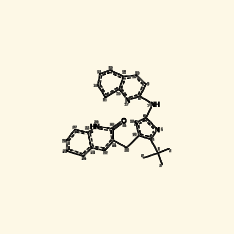 CC(C)(C)c1nc(Nc2ccc3ccccc3n2)sc1Cc1cc2ccccc2[nH]c1=O